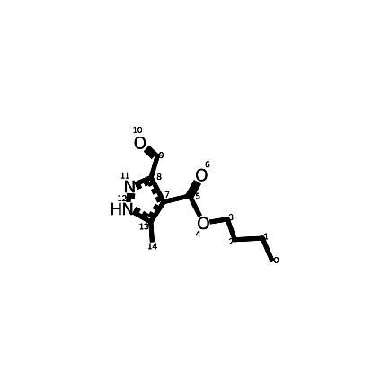 CCCCOC(=O)c1c(C=O)n[nH]c1C